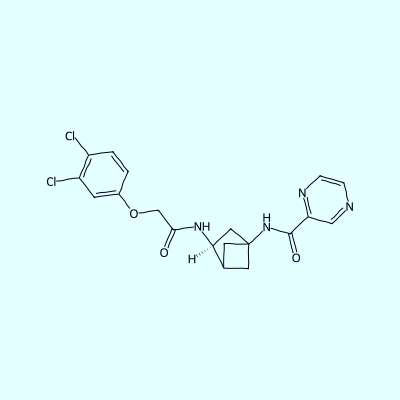 O=C(COc1ccc(Cl)c(Cl)c1)N[C@H]1CC2(NC(=O)c3cnccn3)CC1C2